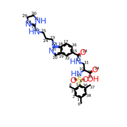 Cc1cc(C)c(S(=O)(=O)NC(CNC(=O)c2ccc3c(cnn3CCCNC3=NCCN3)c2)C(=O)O)c(C)c1